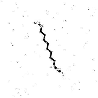 N#COCCCCCCCCN=C=O